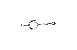 CCc1ccc(C#CC#N)cc1